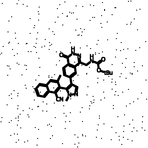 Cc1cc2ccccc2c(C#N)c1-c1c(-c2ccc3c(=O)[nH]nc(CNC(=O)OC(C)(C)C)c3c2)cnn1C